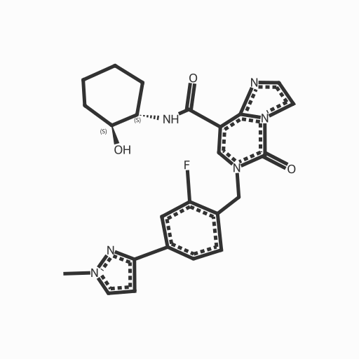 Cn1ccc(-c2ccc(Cn3cc(C(=O)N[C@H]4CCCC[C@@H]4O)c4nccn4c3=O)c(F)c2)n1